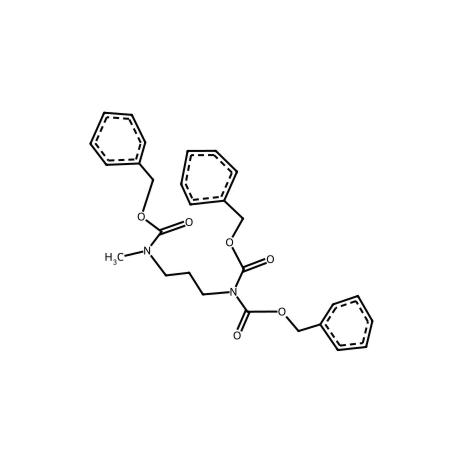 CN(CCCN(C(=O)OCc1ccccc1)C(=O)OCc1ccccc1)C(=O)OCc1ccccc1